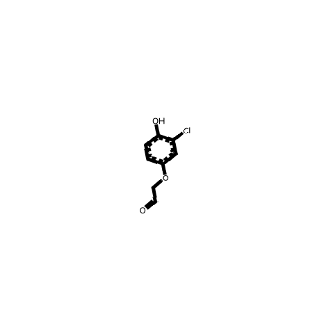 O=[C]COc1ccc(O)c(Cl)c1